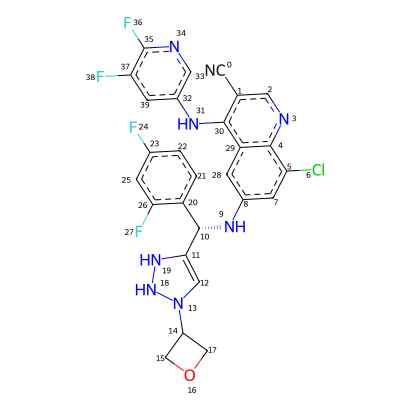 N#Cc1cnc2c(Cl)cc(N[C@H](C3=CN(C4COC4)NN3)c3ccc(F)cc3F)cc2c1Nc1cnc(F)c(F)c1